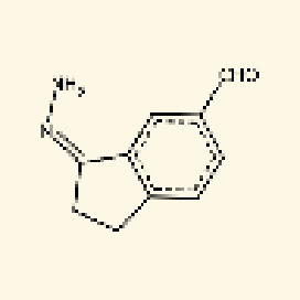 N/N=C1/CCc2ccc(C=O)cc21